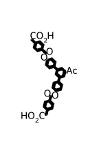 CC(=O)c1cc(-c2ccc(OC(=O)c3ccc(CC(=O)O)cc3)cc2)cc(-c2ccc(OC(=O)c3ccc(CC(=O)O)cc3)cc2)c1